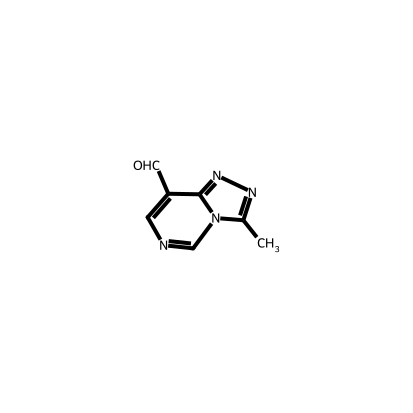 Cc1nnc2c(C=O)cncn12